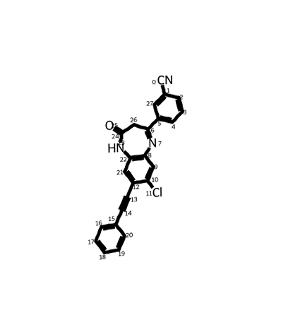 N#Cc1cccc(C2=Nc3cc(Cl)c(C#Cc4ccccc4)cc3NC(=O)C2)c1